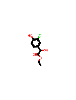 CCOC(=O)C(O)c1ccc(O)c(Cl)c1